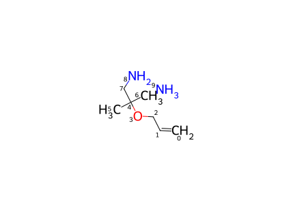 C=CCOC(C)(C)CN.N